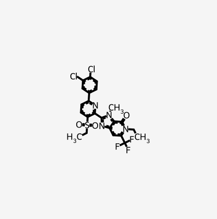 CCn1c(C(F)(F)F)cc2nc(-c3nc(-c4ccc(Cl)c(Cl)c4)ccc3S(=O)(=O)CC)n(C)c2c1=O